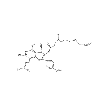 C#CCOCCOC(=O)CCC(=O)Oc1c(-c2ccc(OC)cc2)oc2c(CC=C(C)C)c(O)cc(O)c2c1=O